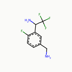 NCc1ccc(F)c(C(N)C(F)(F)F)c1